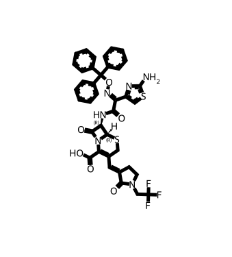 Nc1nc(C(=NOC(c2ccccc2)(c2ccccc2)c2ccccc2)C(=O)N[C@@H]2C(=O)N3C(C(=O)O)=C(C=C4CCN(CC(F)(F)F)C4=O)CS[C@H]23)cs1